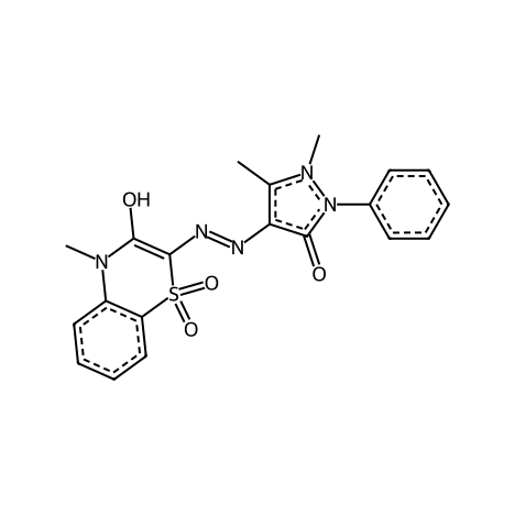 Cc1c(N=NC2=C(O)N(C)c3ccccc3S2(=O)=O)c(=O)n(-c2ccccc2)n1C